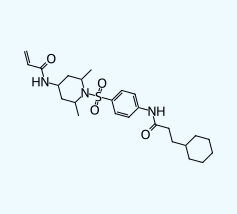 C=CC(=O)NC1CC(C)N(S(=O)(=O)c2ccc(NC(=O)CCC3CCCCC3)cc2)C(C)C1